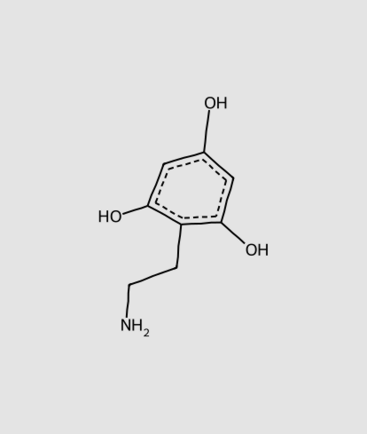 NCCc1c(O)cc(O)cc1O